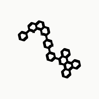 c1ccc(-c2ccc3ccc4ccc(-c5ccc(-c6cccc(-c7nc8c9ccccc9c9ccccc9c8c8ccccc78)c6)nc5)nc4c3n2)cc1